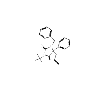 C=CCC1(c2ccccc2)C(=O)N(C(C)(C)C)C(=O)N1Cc1ccccc1